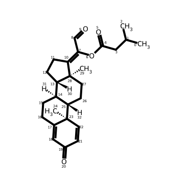 CC(C)CC(=O)OC(C=O)=C1CC[C@H]2[C@@H]3CCC4=CC(=O)C=C[C@]4(C)[C@H]3CC[C@]12C